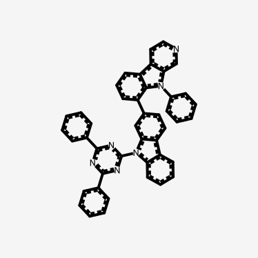 c1ccc(-c2nc(-c3ccccc3)nc(-n3c4ccccc4c4ccc(-c5cccc6c7ccncc7n(-c7ccccc7)c56)cc43)n2)cc1